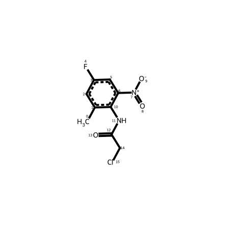 Cc1cc(F)cc([N+](=O)[O-])c1NC(=O)CCl